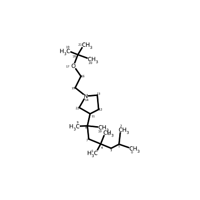 CC(C)CC(C)(C)CC(C)(C)C1CCN(CCOC(C)(C)C)C1